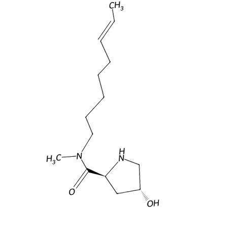 CC=CCCCCCN(C)C(=O)[C@@H]1C[C@@H](O)CN1